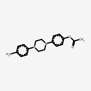 CC(=O)Oc1ccc(N2CCN(c3ccc(N)cc3)CC2)cc1